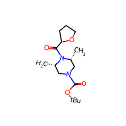 C[C@@H]1CN(C(=O)OC(C)(C)C)C[C@H](C)N1C(=O)C1CCCO1